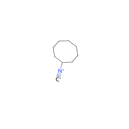 [C-]#[N+]C1CCCCCCC1